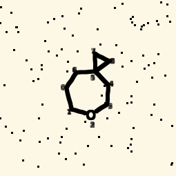 C1COCCC2(C1)CC2